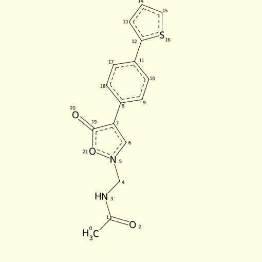 CC(=O)NCn1cc(-c2ccc(-c3cccs3)cc2)c(=O)o1